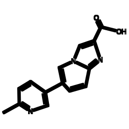 Cc1ccc(-c2ccc3nc(C(=O)O)cn3c2)cn1